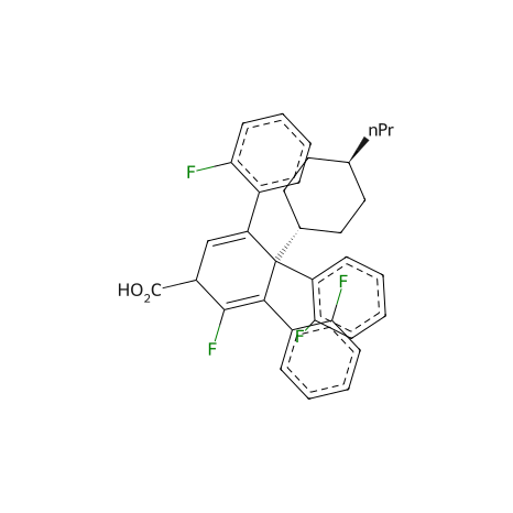 CCC[C@H]1CC[C@H](C2(c3ccccc3F)C(c3ccccc3F)=CC(C(=O)O)C(F)=C2c2ccccc2F)CC1